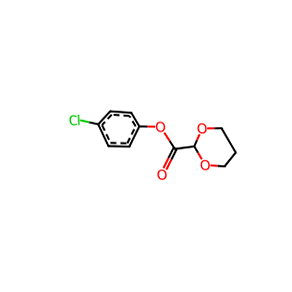 O=C(Oc1ccc(Cl)cc1)C1OCCCO1